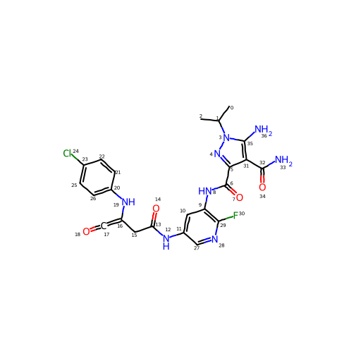 CC(C)n1nc(C(=O)Nc2cc(NC(=O)CC(=C=O)Nc3ccc(Cl)cc3)cnc2F)c(C(N)=O)c1N